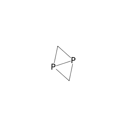 C1P2CP12